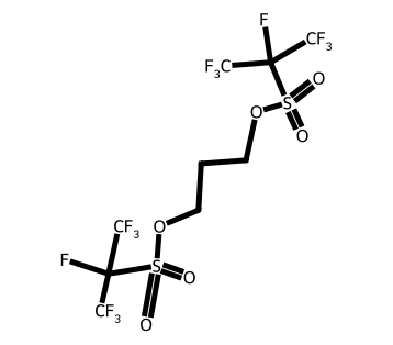 O=S(=O)(OCCCOS(=O)(=O)C(F)(C(F)(F)F)C(F)(F)F)C(F)(C(F)(F)F)C(F)(F)F